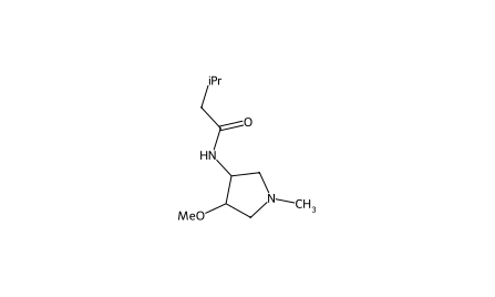 COC1CN(C)CC1NC(=O)CC(C)C